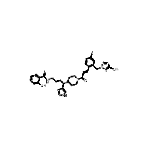 Cc1nnn(Cc2cc(Cl)ccc2/C=C/C(=O)N2CCC(C(CCCNC(=O)c3ccccc3O)c3c[nH]nn3)CC2)n1